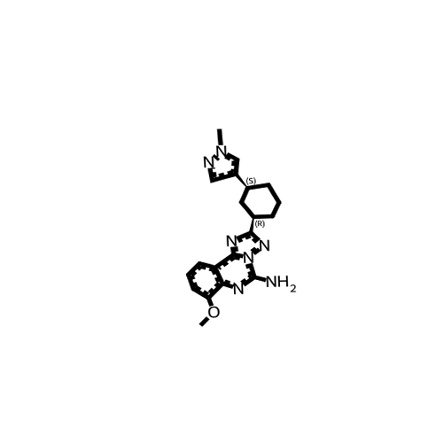 COc1cccc2c1nc(N)n1nc([C@@H]3CCC[C@H](c4cnn(C)c4)C3)nc21